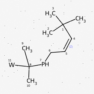 CC(C)(C)/C=C\CP[C](C)(C)[W]